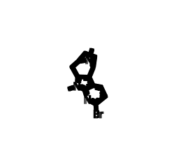 CN1C2CCC1c1c(n(C)c3nc(Br)ccc13)C2